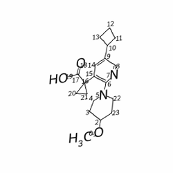 COC1CCN(c2ncc(C3CCC3)cc2C2(C(=O)O)CC2)CC1